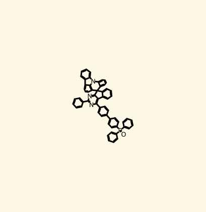 O=P(c1ccccc1)(c1ccccc1)c1ccc(-c2ccc(-c3nc(-c4ccccc4)nc4c3-c3ccccc3C43c4ccccc4-n4c5ccccc5c5cccc3c54)cc2)cc1